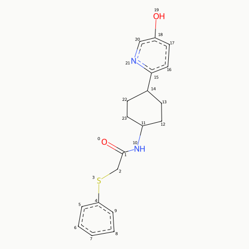 O=C(CSc1ccccc1)NC1CCC(c2ccc(O)cn2)CC1